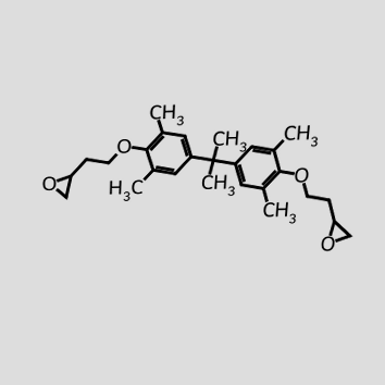 Cc1cc(C(C)(C)c2cc(C)c(OCCC3CO3)c(C)c2)cc(C)c1OCCC1CO1